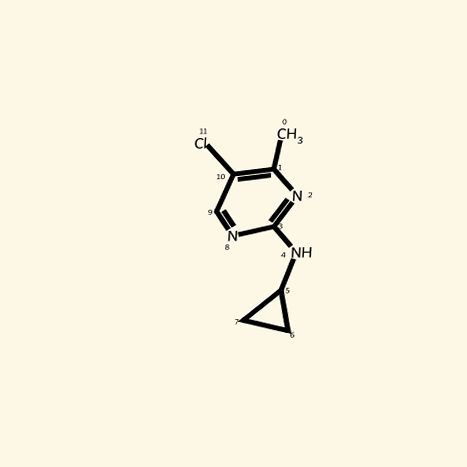 Cc1nc(NC2CC2)ncc1Cl